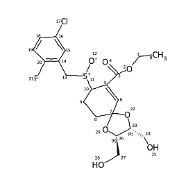 CCOC(=O)C1=CC2(CCC1[S+]([O-])Cc1cc(Cl)ccc1F)O[C@H](CO)[C@@H](CO)O2